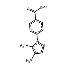 CNC(=O)c1ccc(-n2ncc(N)c2C)cc1